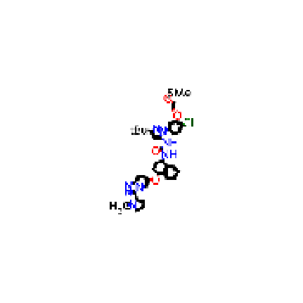 CSOCCOc1cc(-n2nc(C(C)(C)C)cc2NC(=O)NC2CCC(Oc3ccc4nnc(C5CCCN5C)n4c3)c3ccccc32)ccc1Cl